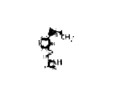 [CH2]C[C@@H]1C[C@@H]1c1cncc(OC[C@@H]2CCN2)c1